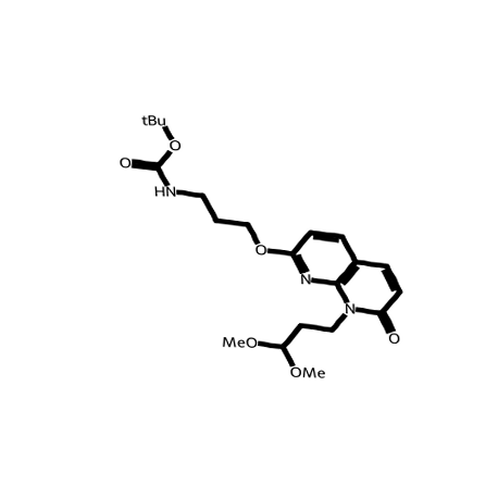 COC(CCn1c(=O)ccc2ccc(OCCCNC(=O)OC(C)(C)C)nc21)OC